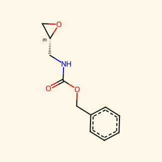 O=C(NC[C@@H]1CO1)OCc1ccccc1